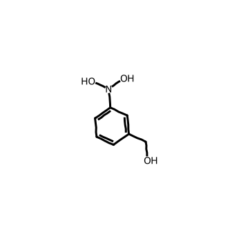 OCc1cccc(N(O)O)c1